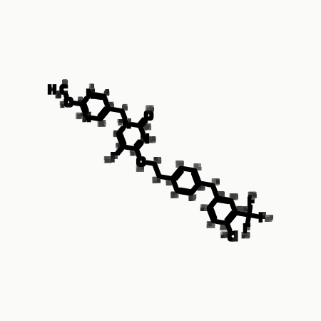 COc1ncc(Cn2cc(F)c(OCCc3ccc(Cc4ccc(Cl)c(C(F)(F)F)c4)cc3)nc2=O)cn1